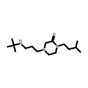 CC(C)CCN1CCN(CCCNC(C)(C)C)CC1=O